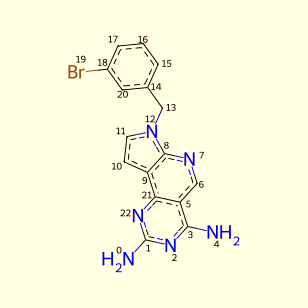 Nc1nc(N)c2cnc3c(ccn3Cc3cccc(Br)c3)c2n1